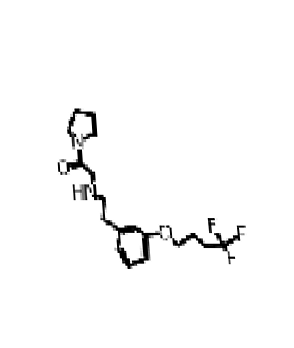 O=C(CNCCc1cccc(OCCCC(F)(F)F)c1)N1CCCC1